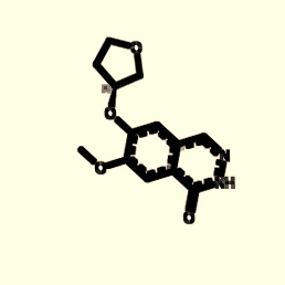 COc1cc2c(=O)[nH]ncc2cc1O[C@H]1CCOC1